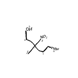 CCCCCC(C)(CO)[N+](=O)[O-]